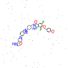 COc1ccc(COc2c(F)cc(C(=O)NCC3CCC(n4cc5ccc(N6CCC7(CC6)CNCCO7)cc5n4)CC3)c(F)c2F)cc1